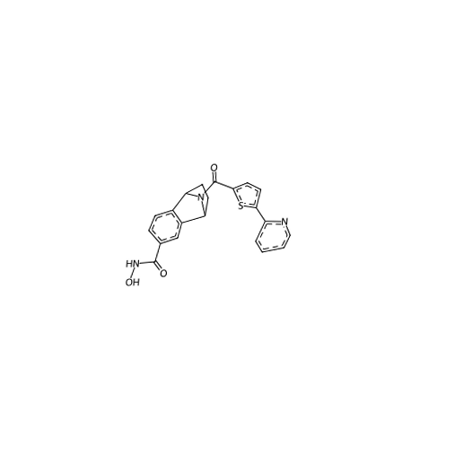 O=C(NO)c1ccc2c(c1)C1CCC2N1C(=O)c1ccc(-c2ccccn2)s1